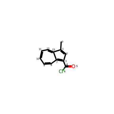 Cc1cc(C(=O)Cl)c2cccccc1-2